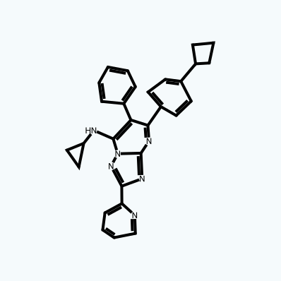 c1ccc(-c2c(-c3ccc([C]4CCC4)cc3)nc3nc(-c4ccccn4)nn3c2NC2CC2)cc1